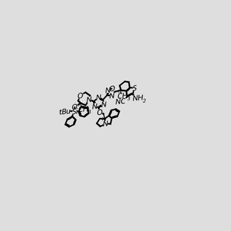 CC(C)(C)[Si](O[C@@]1(C)COCCN(c2nc(OC[C@]34CCCN3Cc3ccccc34)nc(-c3noc([C@@]4(C)CCCc5sc(N)c(C#N)c54)n3)n2)C1)(c1ccccc1)c1ccccc1